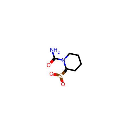 NC(=O)N1CCCCC1=S(=O)=O